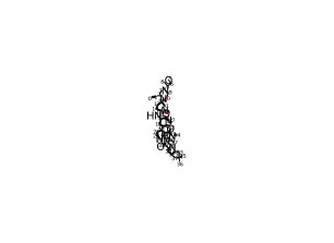 C#C[C@H]1CN(C2COC2)CCN1c1ccc(Nc2cc(-c3ccnc(N4CCn5c(cc6c5CC(C)(C)C6)C4=O)c3C(=O)NC)cn(C)c2=O)nc1